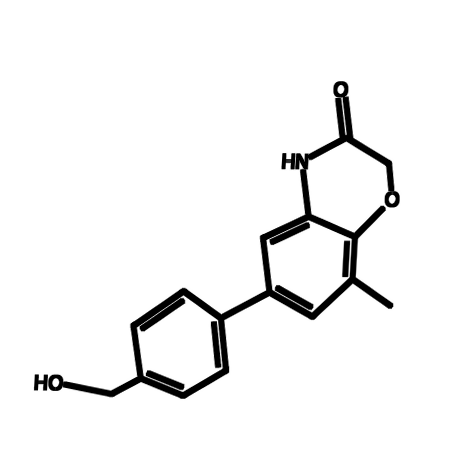 Cc1cc(-c2ccc(CO)cc2)cc2c1OCC(=O)N2